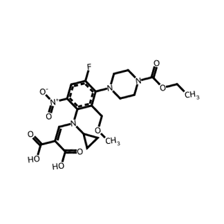 CCOC(=O)N1CCN(c2c(F)cc([N+](=O)[O-])c(N(C=C(C(=O)O)C(=O)O)C3CC3)c2COC)CC1